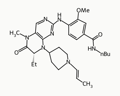 CC=CN1CCC(N2c3nc(Nc4ccc(C(=O)NCCCC)cc4OC)ncc3N(C)C(=O)[C@H]2CC)CC1